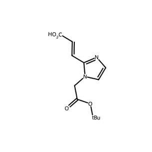 CC(C)(C)OC(=O)Cn1ccnc1C=CC(=O)O